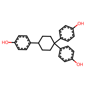 Oc1ccc(C2CCC(c3ccc(O)cc3)(c3ccc(O)cc3)CC2)cc1